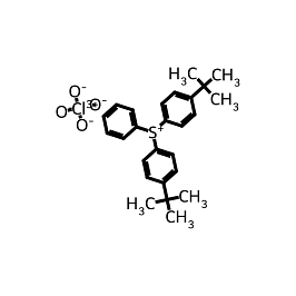 CC(C)(C)c1ccc([S+](c2ccccc2)c2ccc(C(C)(C)C)cc2)cc1.[O-][Cl+3]([O-])([O-])[O-]